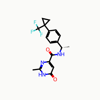 Cc1nc(C(=O)N[C@@H](C)c2ccc(C3(C(F)(F)F)CC3)cc2)cc(=O)[nH]1